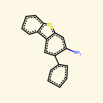 Nc1cc2sc3ccccc3c2cc1-c1ccccc1